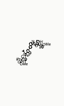 COC(=O)N[C@H](C(=O)N1CCC[C@H]1c1nc(C2CC2)c(-c2ccc(-c3ccc4c(ccc5nc([C@@H]6CCCN6C(=O)[C@@H](NC(=O)OC)C(C)C)[nH]c54)c3)c3c2CCC3)[nH]1)C(C)C